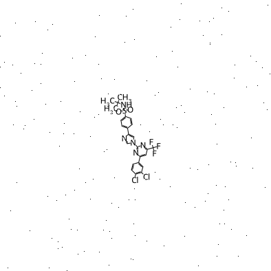 CC(C)(C)NS(=O)(=O)c1ccc(-c2cn(-c3nc(-c4ccc(Cl)c(Cl)c4)cc(C(F)(F)F)n3)cn2)cc1